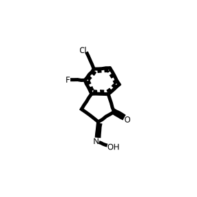 O=C1/C(=N\O)Cc2c1ccc(Cl)c2F